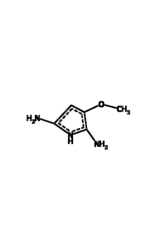 COc1cc(N)[nH]c1N